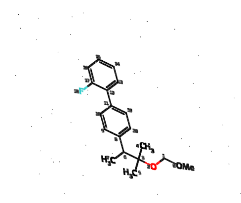 COCOC(C)(C)C(C)c1ccc(-c2ccccc2F)cc1